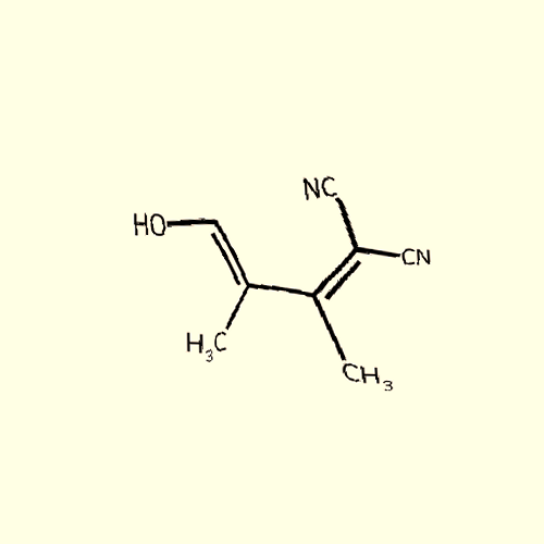 CC(=C(C#N)C#N)/C(C)=C/O